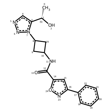 C[C@H](O)c1cnnn1C1CC(NC(=O)c2cc(-c3ccccc3)no2)C1